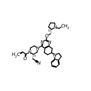 C=CC(=O)N1CCN(c2nc(OC[C@@H]3CCCN3CC)nc3c2CCC(N2CCc4ccccc42)C3)C[C@@H]1CC#N